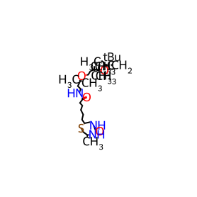 C=C=C(OC(C)(C)C(C)(C)CCOC(C)(C)CCNC(=O)CCCCCC1CNC(=O)NC(C)CS1)C(C)C(C)(C)C